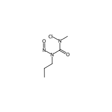 CCCN(N=O)C(=O)N(C)Cl